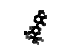 CC(NC(=O)N1CCN(C)C(=O)C1=O)C(=O)C(C)(C)C